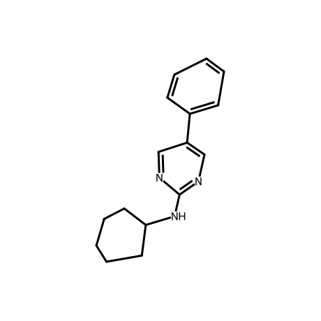 c1ccc(-c2cnc(NC3CCCCC3)nc2)cc1